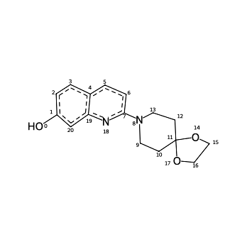 Oc1ccc2ccc(N3CCC4(CC3)OCCO4)nc2c1